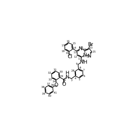 O=C(NCc1cccc(CNc2cc(-c3ccccc3Cl)nc3c(Br)cnn23)c1)c1ccccc1Oc1ccccc1